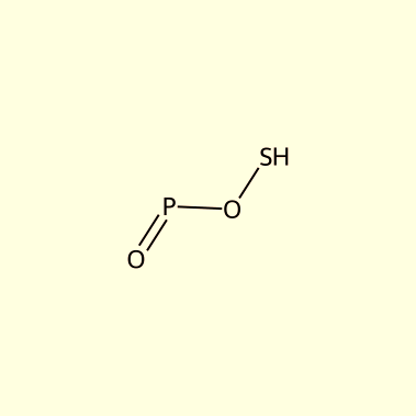 O=POS